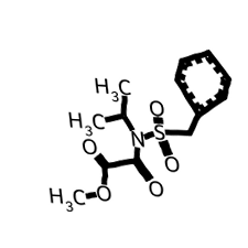 COC(=O)C(=O)N(C(C)C)S(=O)(=O)Cc1ccccc1